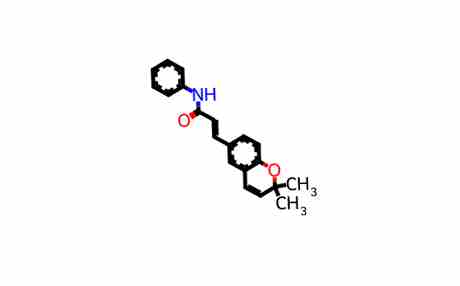 CC1(C)C=Cc2cc(/C=C/C(=O)Nc3ccccc3)ccc2O1